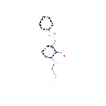 CNCCNc1cccc(CS(=O)(=O)c2ccccc2)c1[N+](=O)[O-]